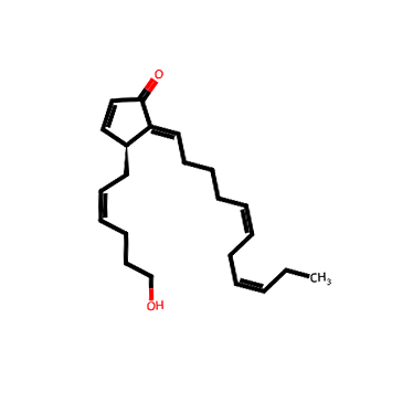 CC/C=C\C/C=C\CCC/C=C1/C(=O)C=C[C@@H]1C/C=C\CCCO